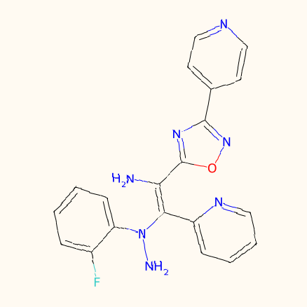 N/C(=C(/c1ccccn1)N(N)c1ccccc1F)c1nc(-c2ccncc2)no1